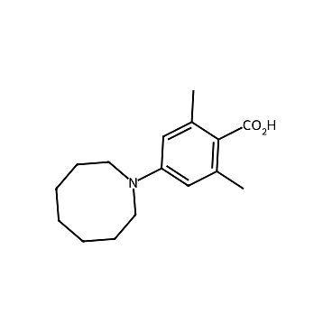 Cc1cc(N2CCCCCCC2)cc(C)c1C(=O)O